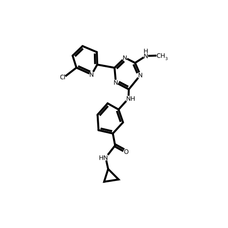 CNc1nc(Nc2cccc(C(=O)NC3CC3)c2)nc(-c2cccc(Cl)n2)n1